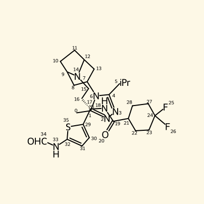 Cc1nnc(C(C)C)n1C1CC2CCC(C1)N2CC[C@H](NC(=O)C1CCC(F)(F)CC1)c1ccc(NC=O)s1